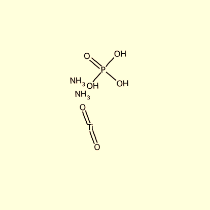 N.N.O=P(O)(O)O.[O]=[Ti]=[O]